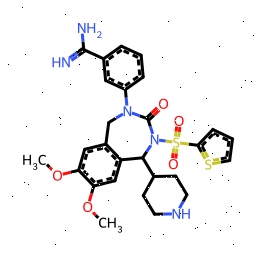 COc1cc2c(cc1OC)C(C1CCNCC1)N(S(=O)(=O)c1cccs1)C(=O)N(c1cccc(C(=N)N)c1)C2